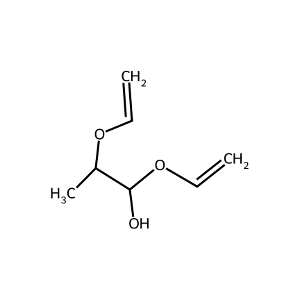 C=COC(C)C(O)OC=C